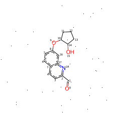 O=Cc1ccc2ccc(OC3CCCC3O)cc2n1